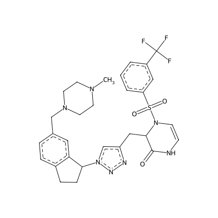 CN1CCN(Cc2ccc3c(c2)C(n2cc(CC4C(=O)NC=CN4S(=O)(=O)c4cccc(C(F)(F)F)c4)nn2)CC3)CC1